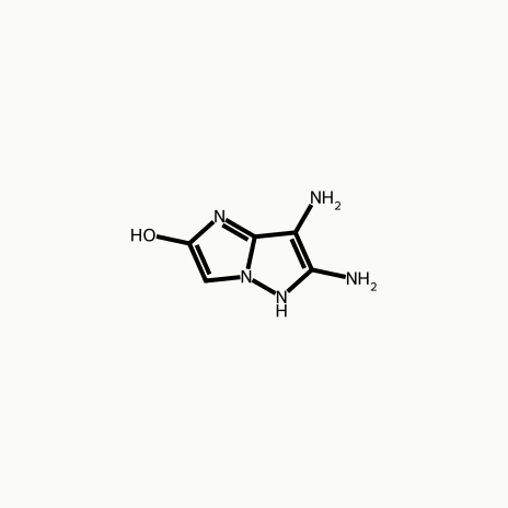 Nc1[nH]n2cc(O)nc2c1N